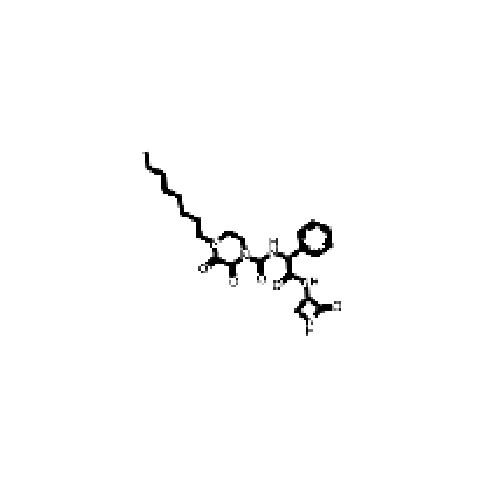 CCCCCCCCN1CCN(C(=O)NC(C(=O)NC2CNC2=O)c2ccccc2)C(=O)C1=O